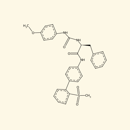 COc1ccc(NC(=O)N[C@@H](Cc2ccccc2)C(=O)Nc2ccc(-c3ccccc3S(C)(=O)=O)cc2)cc1